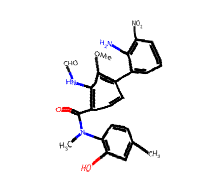 COc1c(-c2cccc([N+](=O)[O-])c2N)ccc(C(=O)N(C)c2ccc(C)cc2O)c1NC=O